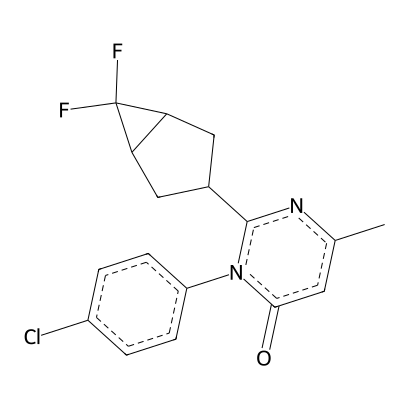 Cc1cc(=O)n(-c2ccc(Cl)cc2)c(C2CC3C(C2)C3(F)F)n1